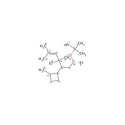 CCCC(C)(C)O[C@H](CC)CC(C1CCC1C)C(C)(C=C(C)C)CC